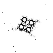 Cc1cc(C)c(S(c2ccccc2)(c2c(C)cc(C)cc2C)c2c(C)cc(C)cc2C)c(C)c1